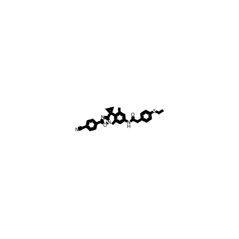 CCSc1ccc(CC(=O)Nc2cc(C)c(C3(c4noc(-c5ccc(C#N)cc5)n4)CC3)c(C)c2)cc1